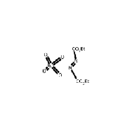 CCOC(=O)N=NC(=O)OCC.[O]=[Ru](=[O])(=[O])=[O]